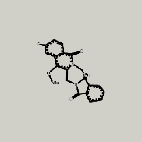 CCCCOc1c(CN2C(=O)c3ccccc3C2=O)n(CC(C)(C)C)c(=O)c2ccc(F)cc12